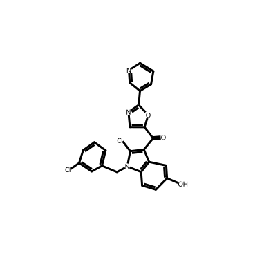 O=C(c1cnc(-c2cccnc2)o1)c1c(Cl)n(Cc2cccc(Cl)c2)c2ccc(O)cc12